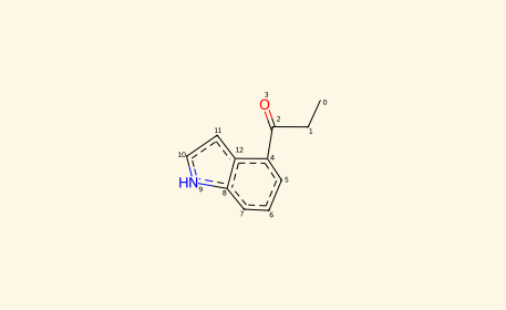 CCC(=O)c1cccc2[nH]ccc12